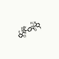 Nc1ccc(I)cc1NC(=O)c1ccc(-c2nc(-c3c(F)cccc3Cl)[nH]c2Br)cc1